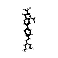 CC(C)n1cc(C(=O)O)c(=O)c2ccc(-c3ccc(CCN(CCCl)CCCl)cc3)cc21